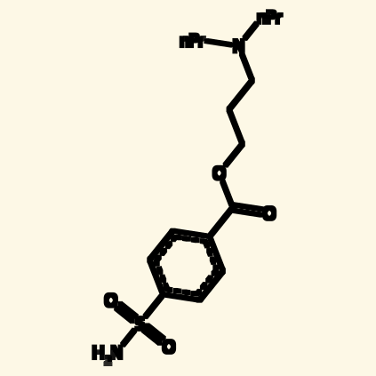 CCCN(CCC)CCCOC(=O)c1ccc(S(N)(=O)=O)cc1